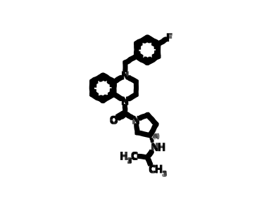 CC(C)N[C@H]1CCN(C(=O)N2CCN(Cc3ccc(F)cc3)c3ccccc32)C1